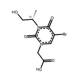 C[C@@H](CO)n1c(=O)c(Br)cn(CC(=O)O)c1=O